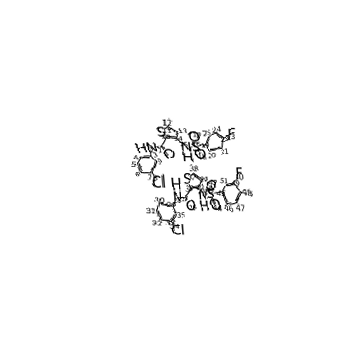 O=C(Nc1cccc(Cl)c1)c1sccc1NS(=O)(=O)c1ccc(F)cc1.O=C(Nc1cccc(Cl)c1)c1sccc1NS(=O)(=O)c1cccc(F)c1